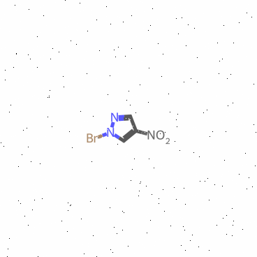 O=[N+]([O-])c1cnn(Br)c1